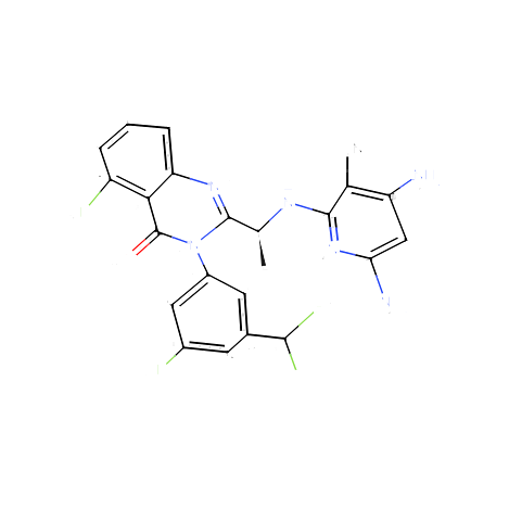 CC[C@H](Nc1nc(N)cc(N)c1C#N)c1nc2cccc(F)c2c(=O)n1-c1cc(F)cc(C(F)F)c1